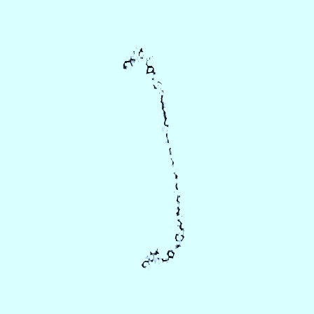 CC1(C)SCN(S(=O)(=O)c2cccnc2)[C@@H]1C(=O)N[C@@H](Cc1ccc(OC(=O)N2CCN(C(=O)NCCOCCOCCC(=O)NCCCOCCOCCCOCCOCCCNC(=O)CCOCCOCCNC(=O)N3CCN(C(=O)Oc4ccc(C[C@H](NC(=O)[C@H]5N(S(=O)(=O)c6cccnc6)CSC5(C)C)C(=O)O)cc4)CC3)CC2)cc1)C(=O)O